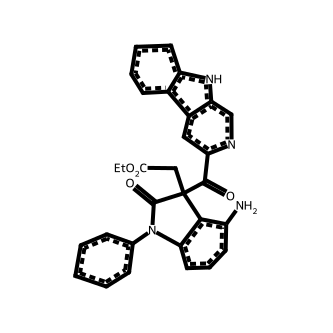 CCOC(=O)CC1(C(=O)c2cc3c(cn2)[nH]c2ccccc23)C(=O)N(c2ccccc2)c2cccc(N)c21